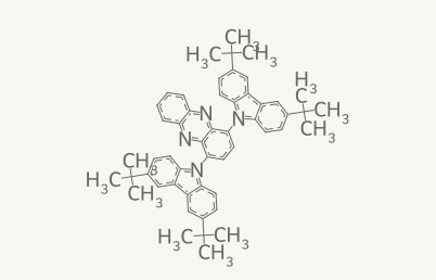 CC(C)(C)c1ccc2c(c1)c1cc(C(C)(C)C)ccc1n2-c1ccc(-n2c3ccc(C(C)(C)C)cc3c3cc(C(C)(C)C)ccc32)c2nc3ccccc3nc12